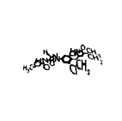 CCOC(=O)NC(=O)C(C#N)=NNc1cc(Cl)c(C(C)c2cc(C(C)C)c(=O)[nH]n2)c(Cl)c1